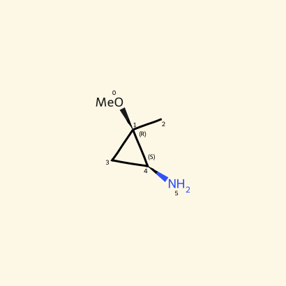 CO[C@]1(C)C[C@@H]1N